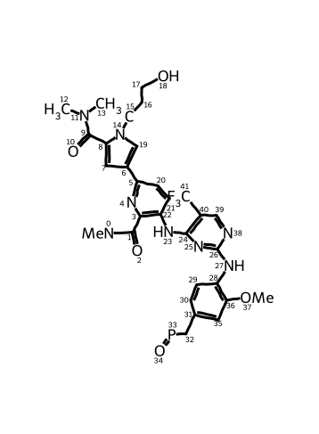 CNC(=O)c1nc(-c2cc(C(=O)N(C)C)n(CCCO)c2)ccc1Nc1nc(Nc2ccc(CP=O)cc2OC)ncc1C(F)(F)F